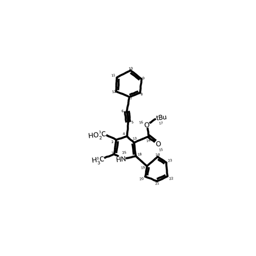 CC1=C(C(=O)O)C(C#Cc2ccccc2)C(C(=O)OC(C)(C)C)=C(c2ccccc2)N1